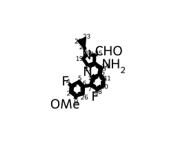 COc1cc(F)cc(-c2c(F)ccc3c(N)c4c(nc23)CN(C2CC2)C4C=O)c1